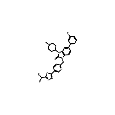 CN1CCC(n2c(=O)n(Cc3ccc(-c4nnc(C(F)F)o4)cn3)c3ccc(-c4cccc(F)c4)cc32)CC1